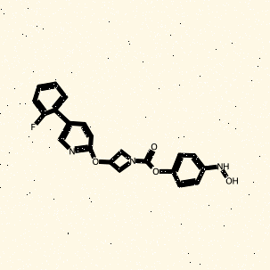 O=C(Oc1ccc(NO)cc1)N1CC(Oc2ccc(-c3ccccc3F)cn2)C1